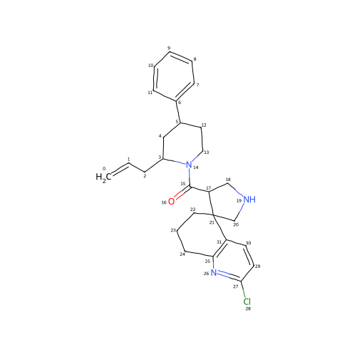 C=CCC1CC(c2ccccc2)CCN1C(=O)C1CNCC12CCCc1nc(Cl)ccc12